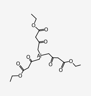 CCOC(=O)CC(=O)[CH2][Al]([CH2]C(=O)CC(=O)OCC)[CH2]C(=O)CC(=O)OCC